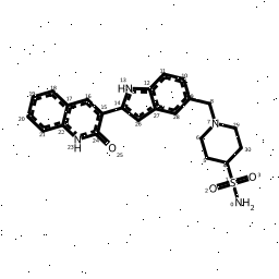 NS(=O)(=O)C1CCN(Cc2ccc3[nH]c(-c4cc5ccccc5[nH]c4=O)cc3c2)CC1